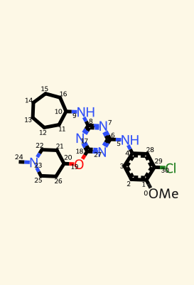 COc1ccc(Nc2nc(NC3CCCCCC3)nc(OC3CCN(C)CC3)n2)cc1Cl